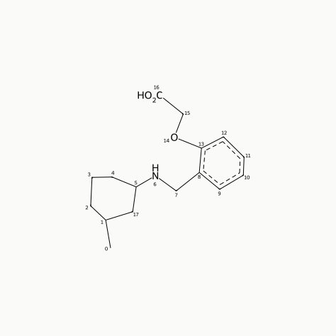 CC1CCCC(NCc2ccccc2OCC(=O)O)C1